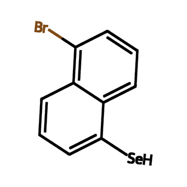 [SeH]c1cccc2c(Br)cccc12